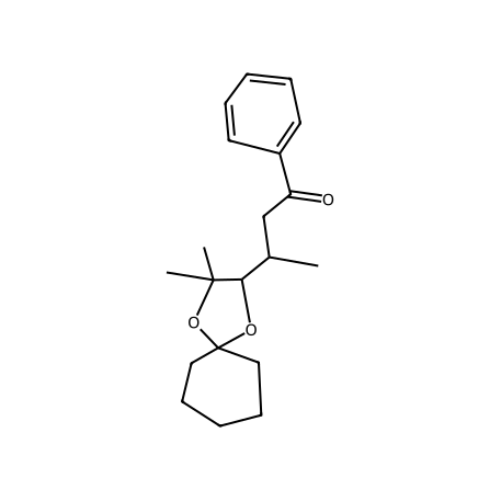 CC(CC(=O)c1ccccc1)C1OC2(CCCCC2)OC1(C)C